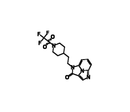 O=c1c2cnc3cccc(n1CCC1CCN(S(=O)(=O)C(F)(F)F)CC1)n32